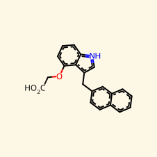 O=C(O)COc1cccc2[nH]cc(Cc3ccc4ccccc4c3)c12